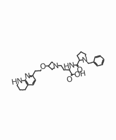 O=C(O)C(CCN1CC(OCCc2ccc3c(n2)NCCC3)C1)NC(=O)C1CCCN1Cc1ccccc1